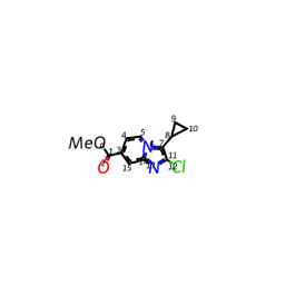 COC(=O)c1ccn2c(C3CC3)c(Cl)nc2c1